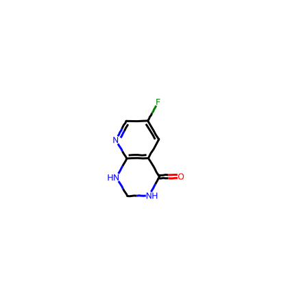 O=C1NCNc2ncc(F)cc21